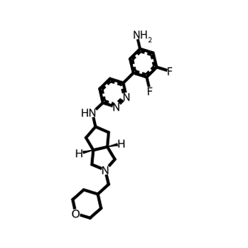 Nc1cc(F)c(F)c(-c2ccc(NC3C[C@@H]4CN(CC5CCOCC5)C[C@@H]4C3)nn2)c1